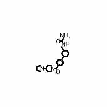 NCC(=O)NCC1=CCCC(c2ccc(C(=O)N3CCC(N4CCCC4)CC3)cc2)C1